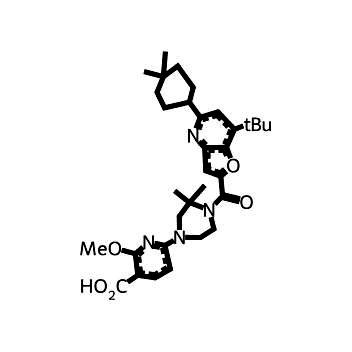 COc1nc(N2CCN(C(=O)c3cc4nc(C5CCC(C)(C)CC5)cc(C(C)(C)C)c4o3)C(C)(C)C2)ccc1C(=O)O